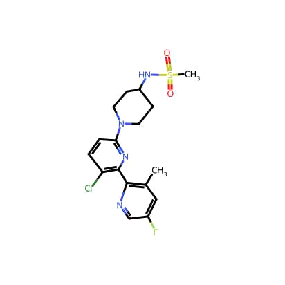 Cc1cc(F)cnc1-c1nc(N2CCC(NS(C)(=O)=O)CC2)ccc1Cl